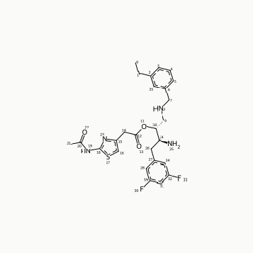 CCc1cccc(CNC[C@@H](OC(=O)Cc2csc(NC(C)=O)n2)[C@@H](N)Cc2cc(F)cc(F)c2)c1